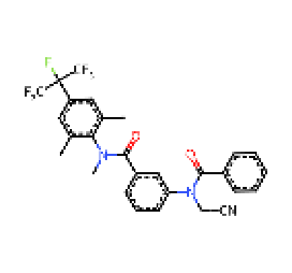 Cc1cc(C(F)(C(F)(F)F)C(F)(F)F)cc(C)c1N(C)C(=O)c1cccc(N(CC#N)C(=O)c2ccccc2)c1